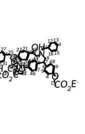 CCOC(=O)COc1ccc(C(CN(Cc2ccccc2)CC(O)c2ccc(OCc3ccccc3)c(NS(C)(=O)=O)c2)c2ccc(OCC(=O)OCC)cc2)cc1